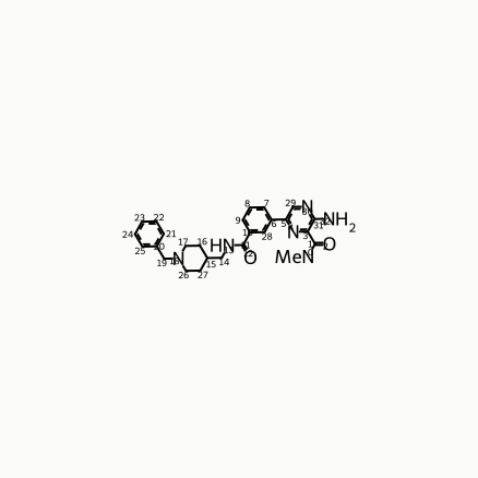 CNC(=O)c1nc(-c2cccc(C(=O)NCC3CCN(Cc4ccccc4)CC3)c2)cnc1N